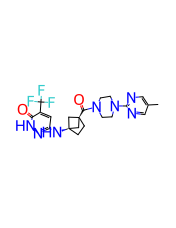 Cc1cnc(N2CCN(C(=O)[C@]34CC[C@](Nc5cc(C(F)(F)F)c(=O)[nH]n5)(C3)C4)CC2)nc1